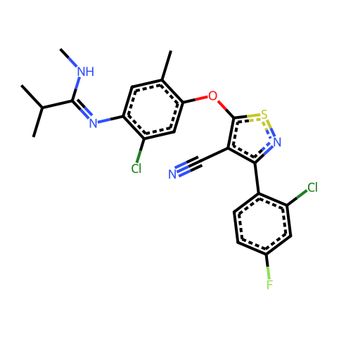 CNC(=Nc1cc(C)c(Oc2snc(-c3ccc(F)cc3Cl)c2C#N)cc1Cl)C(C)C